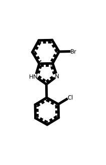 Clc1ccccc1-c1nc2c(Br)cccc2[nH]1